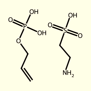 C=CCOP(=O)(O)O.NCCS(=O)(=O)O